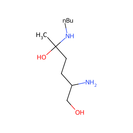 CCCCNC(C)(O)CCC(N)CO